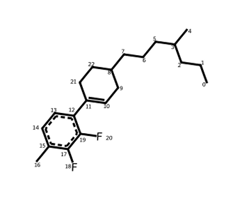 CCCC(C)CCCC1CC=C(c2ccc(C)c(F)c2F)CC1